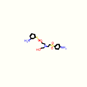 Nc1ccc(S(=O)(=O)CCN(CCO)CCOOSc2cccc(N)c2)cc1